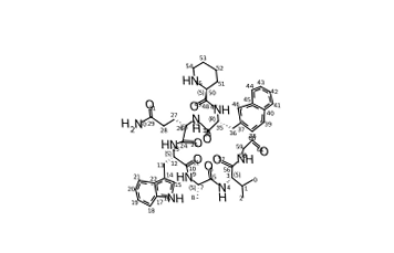 CC(C)[C@H](NC(=O)[C@H](C)NC(=O)[C@H](Cc1c[nH]c2ccccc12)NC(=O)[C@H](CCC(N)=O)NC(=O)[C@@H](Cc1ccc2ccccc2c1)NC(=O)[C@@H]1CCCCN1)C(=O)NCC=O